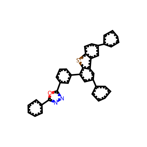 c1ccc(-c2ccc3sc4c(-c5cccc(-c6nnc(-c7ccccc7)o6)c5)cc(-c5ccccc5)cc4c3c2)cc1